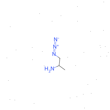 CC(N)CN=[N+]=[N-]